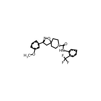 COc1cccc(C2=NOC3(CCN(C(=O)Nc4ccccc4C(F)(F)F)CC3)C2)c1